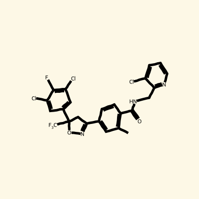 Cc1cc(C2=NOC(c3cc(Cl)c(F)c(Cl)c3)(C(F)(F)F)C2)ccc1C(=O)NCc1ncccc1Cl